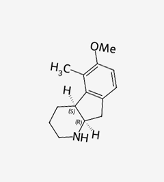 COc1ccc2c(c1C)[C@@H]1CCCN[C@@H]1C2